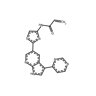 C=CC(=O)Nc1csc(-c2cnc3[nH]cc(-c4ccncn4)c3c2)n1